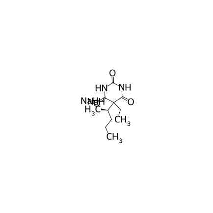 CCC[C@@H](C)C1(CC)C(=O)NC(=O)NC1=O.[NaH].[NaH]